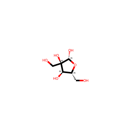 OC[C@H]1O[C@@H](O)[C@@](O)(CO)[C@@H]1O